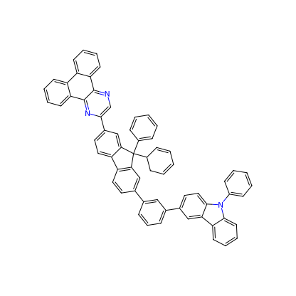 C1=CCC(C2(c3ccccc3)c3cc(-c4cccc(-c5ccc6c(c5)c5ccccc5n6-c5ccccc5)c4)ccc3-c3ccc(-c4cnc5c6ccccc6c6ccccc6c5n4)cc32)C=C1